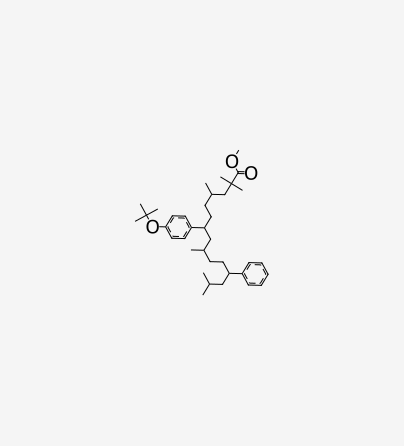 COC(=O)C(C)(C)CC(C)CCC(CC(C)CCC(CC(C)C)c1ccccc1)c1ccc(OC(C)(C)C)cc1